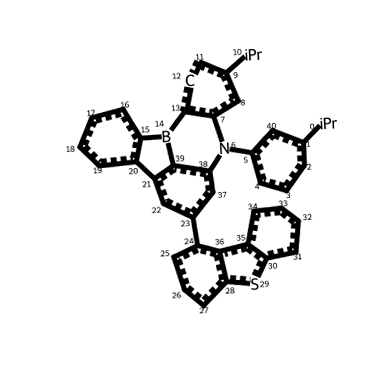 CC(C)c1cccc(N2c3cc(C(C)C)ccc3B3c4ccccc4-c4cc(-c5cccc6sc7ccccc7c56)cc2c43)c1